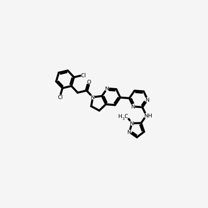 Cn1nccc1Nc1nccc(-c2cnc3c(c2)CCN3C(=O)Cc2c(Cl)cccc2Cl)n1